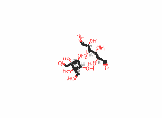 O=C[C@@]1(O)[C@@H](O)[C@H](O)[C@]1(O)CO.O=C[C@H](O)[C@@H](O)[C@H](O)[C@H](O)CO